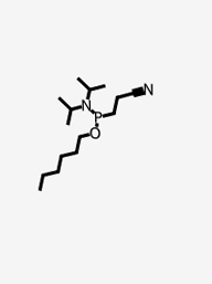 CCCCCCOP(CCC#N)N(C(C)C)C(C)C